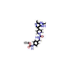 Cc1nc2c(C)ncc(C3CCN(C(=O)NCc4ccc(NC(=O)OC(C)(C)C)cc4)CC3)c2[nH]1